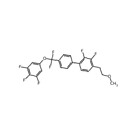 COCCc1ccc(-c2ccc(C(F)(F)Oc3cc(F)c(F)c(F)c3)cc2)c(F)c1F